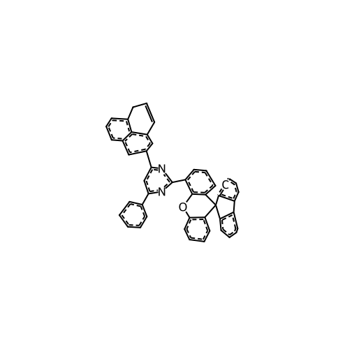 C1=Cc2cc(-c3cc(-c4ccccc4)nc(-c4cccc5c4Oc4ccccc4C54c5ccccc5-c5ccccc54)n3)cc3cccc(c23)C1